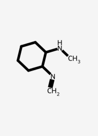 C=NC1CCCCC1NC